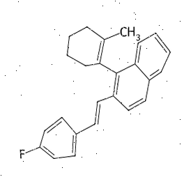 CC1=C(c2c(/C=C/c3ccc(F)cc3)ccc3ccccc23)CCCC1